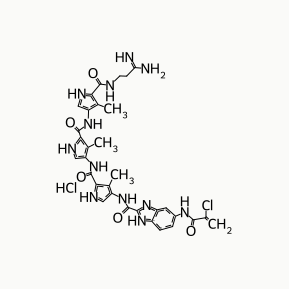 C=C(Cl)C(=O)Nc1ccc2[nH]c(C(=O)Nc3c[nH]c(C(=O)Nc4c[nH]c(C(=O)Nc5c[nH]c(C(=O)NCCC(=N)N)c5C)c4C)c3C)nc2c1.Cl